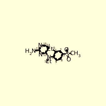 CCc1cc(S(C)(=O)=O)ccc1N(CC)c1ccnc(N)n1